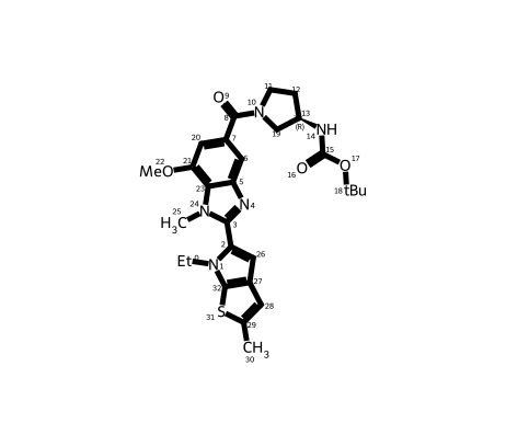 CCn1c(-c2nc3cc(C(=O)N4CC[C@@H](NC(=O)OC(C)(C)C)C4)cc(OC)c3n2C)cc2cc(C)sc21